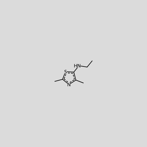 CCNc1sc(C)nc1C